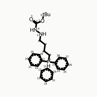 CC(C)(C)OC(=O)NNCCCC[PH](c1ccccc1)(c1ccccc1)c1ccccc1